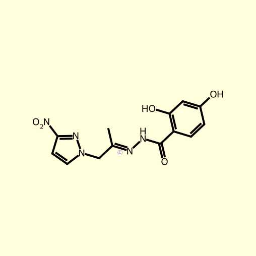 C/C(Cn1ccc([N+](=O)[O-])n1)=N\NC(=O)c1ccc(O)cc1O